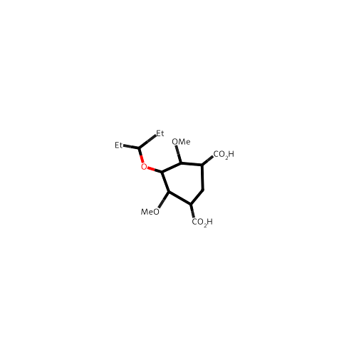 CCC(CC)OC1C(OC)C(C(=O)O)CC(C(=O)O)C1OC